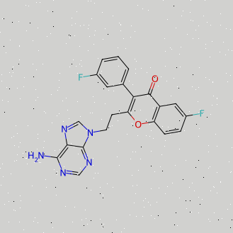 Nc1ncnc2c1ncn2CCc1oc2ccc(F)cc2c(=O)c1-c1cccc(F)c1